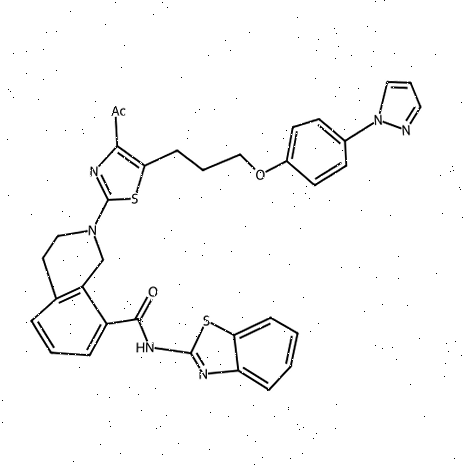 CC(=O)c1nc(N2CCc3cccc(C(=O)Nc4nc5ccccc5s4)c3C2)sc1CCCOc1ccc(-n2cccn2)cc1